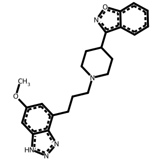 COc1cc(CCCN2CCC(c3noc4ccccc34)CC2)c2nn[nH]c2c1